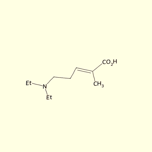 CCN(CC)CC/C=C(\C)C(=O)O